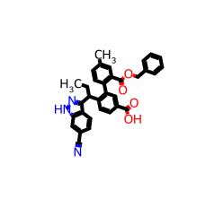 CCC(c1ccc(C(=O)O)cc1-c1ccc(C)cc1C(=O)OCc1ccccc1)c1n[nH]c2cc(C#N)ccc12